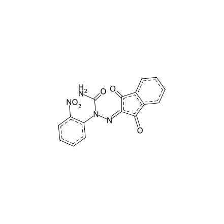 NC(=O)N(N=c1c(=O)c2ccccc2c1=O)c1ccccc1[N+](=O)[O-]